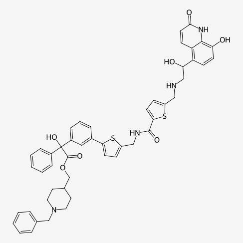 O=C(NCc1ccc(-c2cccc(C(O)(C(=O)OCC3CCN(Cc4ccccc4)CC3)c3ccccc3)c2)s1)c1ccc(CNCC(O)c2ccc(O)c3[nH]c(=O)ccc23)s1